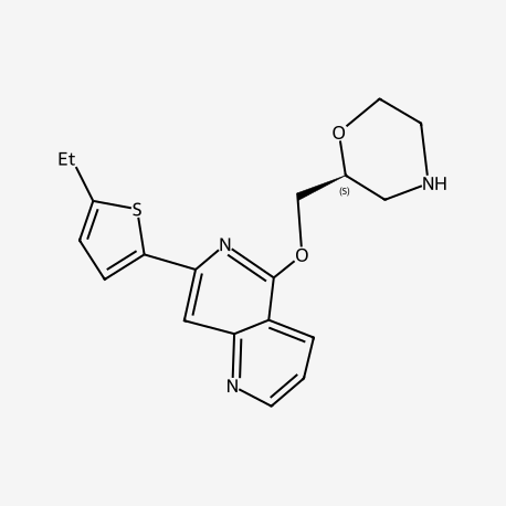 CCc1ccc(-c2cc3ncccc3c(OC[C@@H]3CNCCO3)n2)s1